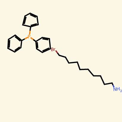 NCCCCCCCCCCBr.c1ccc(P(c2ccccc2)c2ccccc2)cc1